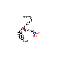 CCCCC/C=C\C/C=C\CCCCCCCCOC(CC[C@@H](C)C1CCC2C3CCC4C[C@H](OC)CC[C@]4(C)C3CC[C@@]21C)O[Si](C)(C)OCCCCCCN(CCO)CCO